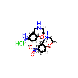 Cl.Nc1ccc2c(c1)CNCCO2.O=[N+]([O-])c1ccc2c(c1)CNCCO2